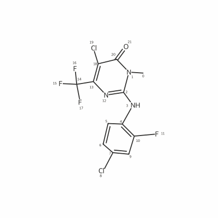 Cn1c(Nc2ccc(Cl)cc2F)nc(C(F)(F)F)c(Cl)c1=O